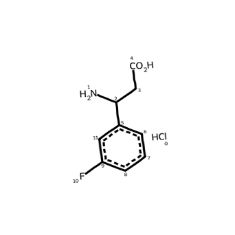 Cl.NC(CC(=O)O)c1cccc(F)c1